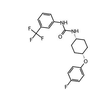 O=C(Nc1cccc(C(F)(F)F)c1)N[C@H]1CC[C@@H](Oc2ccc(F)cc2)CC1